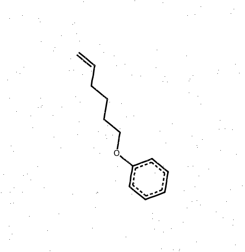 C=CCCCCOc1ccccc1